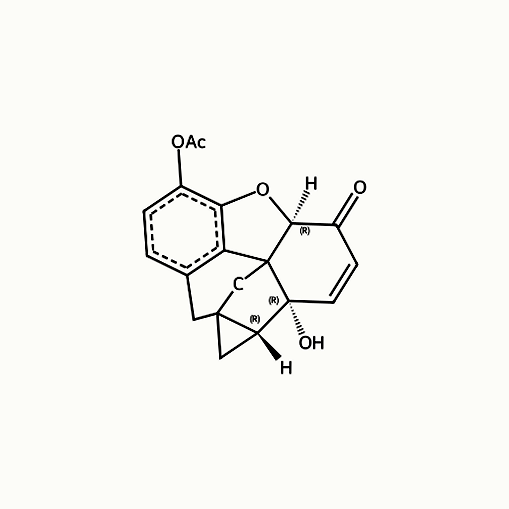 CC(=O)Oc1ccc2c3c1O[C@H]1C(=O)C=C[C@@]4(O)[C@@H]5CC5(C2)CC314